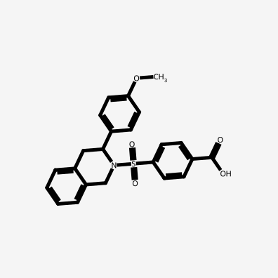 COc1ccc(C2Cc3ccccc3CN2S(=O)(=O)c2ccc(C(=O)O)cc2)cc1